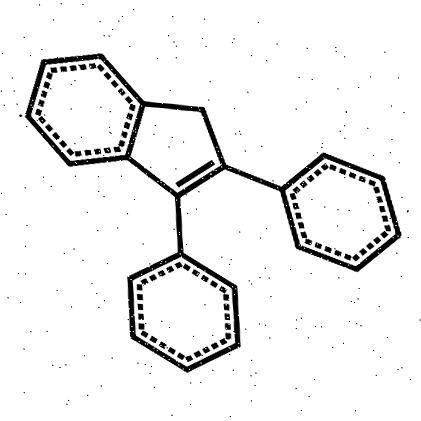 [c]1ccc2c(c1)C(c1ccccc1)=C(c1ccccc1)C2